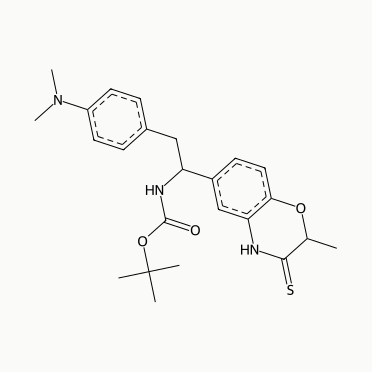 CC1Oc2ccc(C(Cc3ccc(N(C)C)cc3)NC(=O)OC(C)(C)C)cc2NC1=S